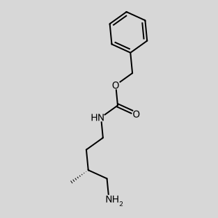 C[C@@H](CN)CCNC(=O)OCc1ccccc1